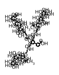 CC(=O)NC1C(O)[C@H](O[C@@H]2OC(CO)[C@H](O)C(O[C@H]3OC(CO)[C@H](O)C(O)C3O)C2O)C(CO)O[C@H]1OCCCNC(=O)COc1cc(-c2cccc(C(=O)O)c2)cc(OCC(=O)NCCCO[C@@H]2OC(CO)[C@@H](O[C@@H]3OC(CO)[C@H](O)C(O[C@H]4OC(CO)[C@H](O)C(O)C4O)C3O)C(O)C2NC(C)=O)c1OCC(=O)NCCCO[C@@H]1OC(CO)[C@@H](O[C@@H]2OC(CO)[C@H](O)C(O[C@H]3OC(CO)[C@H](O)C(O)[C@H]3O)C2O)C(O)C1NC(C)=O